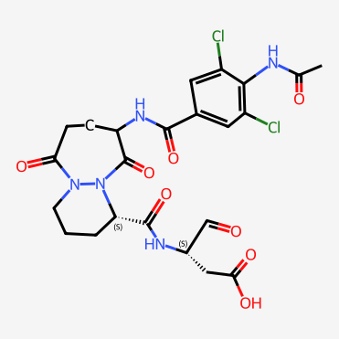 CC(=O)Nc1c(Cl)cc(C(=O)NC2CCC(=O)N3CCC[C@@H](C(=O)N[C@H](C=O)CC(=O)O)N3C2=O)cc1Cl